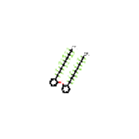 FC(F)(F)C(F)(F)C(F)(F)C(F)(F)C(F)(F)C(F)(F)C(F)(F)C(F)(F)C(F)(F)c1ccccc1Oc1ccccc1C(F)(F)C(F)(F)C(F)(F)C(F)(F)C(F)(F)C(F)(F)C(F)(F)C(F)(F)C(F)(F)F